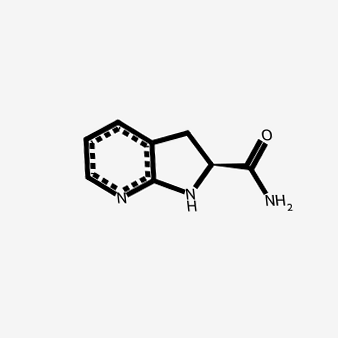 NC(=O)[C@@H]1Cc2cccnc2N1